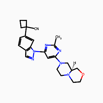 Cc1nc(N2CCN3CCOC[C@@H]3C2)cc(-n2ncc3ccc(C4(C#N)CCC4)cc32)n1